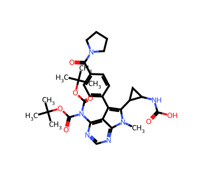 Cn1c(C2CC2NC(=O)O)c(-c2ccc(C(=O)N3CCCC3)cc2)c2c(N(C(=O)OC(C)(C)C)C(=O)OC(C)(C)C)ncnc21